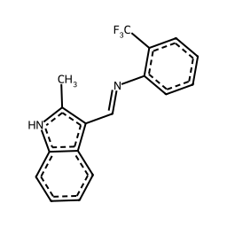 Cc1[nH]c2ccccc2c1/C=N/c1ccccc1C(F)(F)F